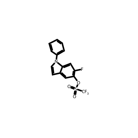 O=S(=O)(Oc1cc2ccn(-c3ccccc3)c2cc1F)C(F)(F)F